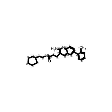 Cc1ccccc1-c1ccc2nc(N)c(CCC(=O)NCCC3CCCCC3)cc2c1